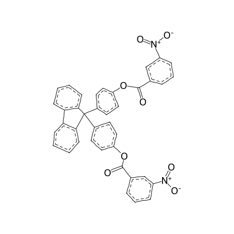 O=C(Oc1ccc(C2(c3ccc(OC(=O)c4cccc([N+](=O)[O-])c4)cc3)c3ccccc3-c3ccccc32)cc1)c1cccc([N+](=O)[O-])c1